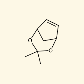 CC1(C)OC2C=CC(C2)O1